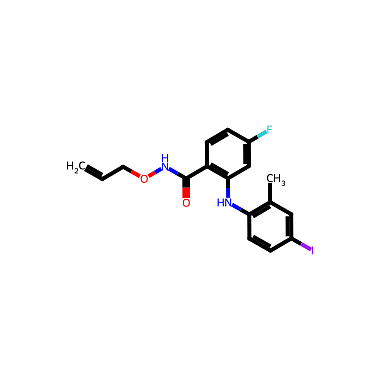 C=CCONC(=O)c1ccc(F)cc1Nc1ccc(I)cc1C